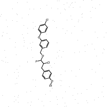 CCOc1ccc(CC(Cl)C(F)OCc2cccc(Oc3ccc(Cl)cc3)c2)cc1